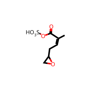 CC(=CCC1CO1)C(=O)OS(=O)(=O)O